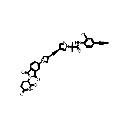 CC#Cc1ccc(NC(=O)C(C)(C)n2cc(C#CC3CN(c4ccc5c(c4)C(=O)N(C4CCC(=O)NC4=O)C5=O)C3)cn2)c(Cl)c1